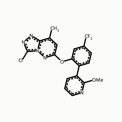 COc1ncccc1-c1ccc(C(F)(F)F)cc1Oc1cc(C)c2nnc(Cl)n2n1